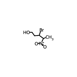 CC(C(Br)CCO)[N+](=O)[O-]